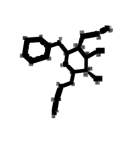 [N-]=[N+]=NCC1OC(Sc2ccccc2)[C@@H](N=[N+]=[N-])C(O)[C@@H]1O